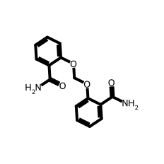 NC(=O)c1ccccc1OCOc1ccccc1C(N)=O